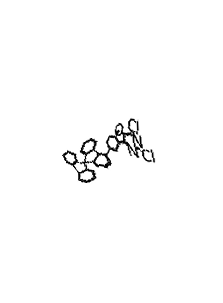 Clc1nc(Cl)c2oc3ccc(-c4cccc5c4-c4ccccc4C54c5ccccc5-c5ccccc54)cc3c2n1